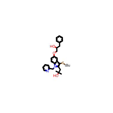 CC(C)(O)Cc1c(SC(C)(C)C)c2cc(OCC(O)Cc3ccccc3)ccc2n1Cc1ccccn1